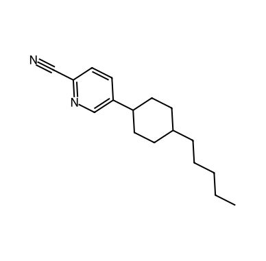 CCCCCC1CCC(c2ccc(C#N)nc2)CC1